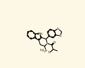 CC(Cl)C(=O)N1C(C(=O)O)Cc2c([nH]c3ccccc23)C1c1ccc2c(c1)OCO2